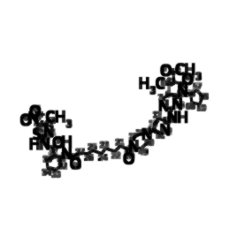 CC(=O)c1c(C)c2cnc(Nc3ccc(N4CCN(C(=O)CCCCCCCC(=O)Nc5ccccc5C(=O)Nc5nc(C)c([N+](=O)[O-])s5)CC4)cn3)nc2n(C2CCCC2)c1=O